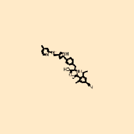 CCc1cc(C#N)cc(C)c1C(=O)NC(Cc1ccc(-c2cc(CNc3cc(C)ccn3)c[nH]2)cc1)C(=O)O